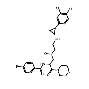 O=C(N[C@@H](C[S+]([O-])CCN[C@@H]1C[C@H]1c1ccc(Cl)c(Cl)c1)C(=O)N1CCOCC1)c1ccc(F)cc1